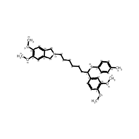 COc1ccc(C(CCCCCCN2Cc3cc(OC)c(OC)cc3C2)Sc2ccc(C)cc2)cc1OC